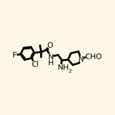 CC(C)(C(=O)NCC(N)C1CCN(C=O)CC1)c1ccc(F)cc1Cl